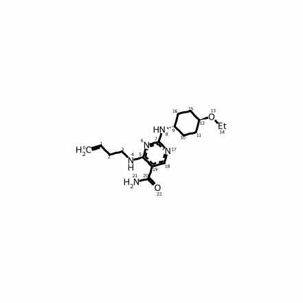 C=CCCNc1nc(N[C@H]2CC[C@H](OCC)CC2)ncc1C(N)=O